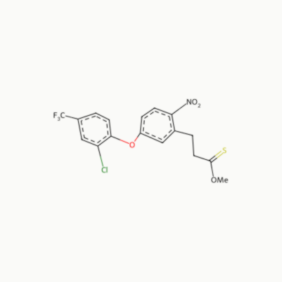 COC(=S)CCc1cc(Oc2ccc(C(F)(F)F)cc2Cl)ccc1[N+](=O)[O-]